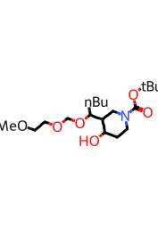 CCCCC(OCOCCOC)C1CN(C(=O)OC(C)(C)C)CCC1O